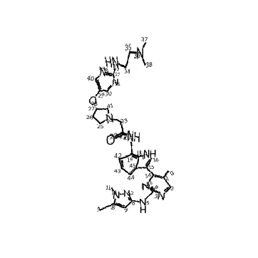 Cc1cnc(Nc2cc(C)n(C)n2)nc1-c1c[nH]c2c(NC(=O)CN3CC[C@H](Oc4cnc(NCCN(C)C)nc4)C3)cccc12